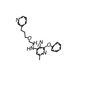 Cc1cc(NCCOCCCc2cccnc2)c(N)c(Oc2ccccc2)n1